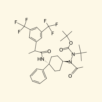 CC(=O)N([C@H]1CC[C@@](NC(=O)C(C)c2cc(C(F)(F)F)cc(C(F)(F)F)c2)(c2ccccc2)CC1)N(C(=O)OC(C)(C)C)C(C)(C)C